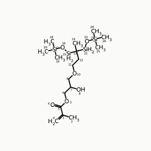 C=C(C)C(=O)OCC(O)COCCC(C)([SiH2]O[Si](C)(C)C)[SiH2]O[Si](C)(C)C